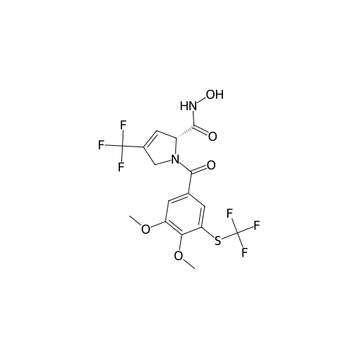 COc1cc(C(=O)N2CC(C(F)(F)F)=C[C@@H]2C(=O)NO)cc(SC(F)(F)F)c1OC